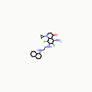 Nc1c(F)c(NCCNc2cccc3ccccc23)c(F)c2c1c(=O)ccn2C1CC1